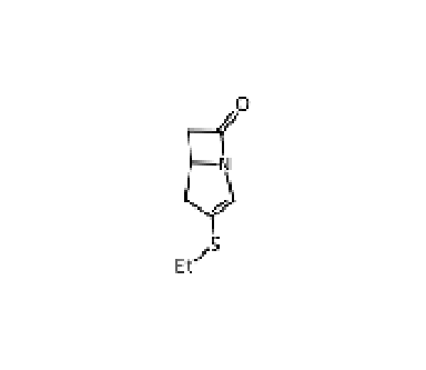 CCSC1=CN2C(=O)CC2C1